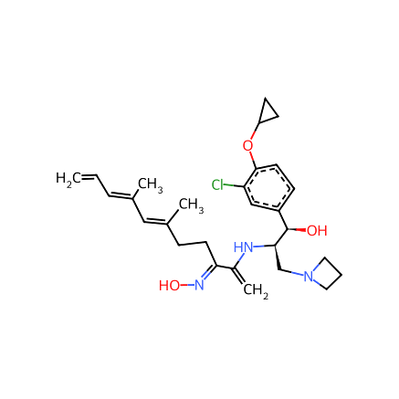 C=C/C=C(C)/C=C(\C)CC/C(=N\O)C(=C)N[C@H](CN1CCC1)[C@H](O)c1ccc(OC2CC2)c(Cl)c1